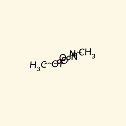 CCCCCCOc1ccc(C(=O)Oc2ccc(-c3ncc(CCC)cn3)cc2)c(F)c1